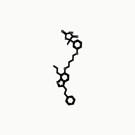 CCCc1c(OCCCCOc2cccc(C3(F)SC(=O)NC3=O)c2)ccc2c(CCc3ccccc3)csc12